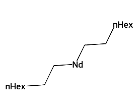 CCCCCCC[CH2][Nd][CH2]CCCCCCC